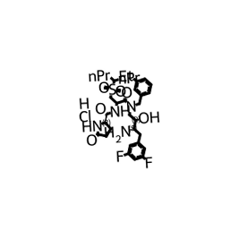 CCCC(CCC)S(=O)(=O)CC(NC(=O)[C@H]1CCC(=O)N1)C(=O)N(Cc1cccc(CC)c1)C[C@@H](O)[C@@H](N)Cc1cc(F)cc(F)c1.Cl